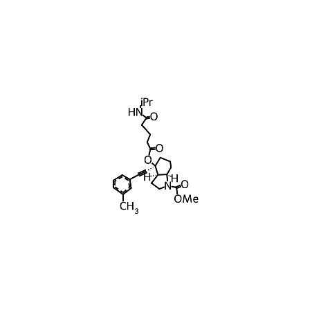 COC(=O)N1CC[C@@H]2[C@H]1CCC[C@]2(C#Cc1cccc(C)c1)OC(=O)CCCC(=O)NC(C)C